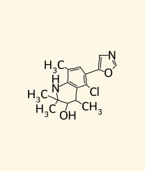 Cc1cc(-c2cnco2)c(Cl)c2c1NC(C)(C)C(O)C2C